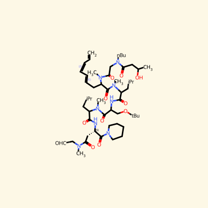 C=C/C=C\C=C\CC(C(=O)N(C)C(CC(C)C)C(=O)NC(COC(C)(C)C)C(=O)N(C)C(CC(C)C)C(=O)N[C@@H](CC(=O)N(C)CC=O)C(=O)N1CCCCC1)N(C)C(=O)CN(CCCC)C(=O)CC(C)O